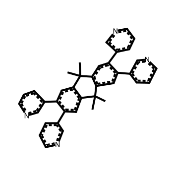 CC1(C)c2cc(-c3cccnc3)c(-c3cccnc3)cc2C(C)(C)c2cc(-c3cccnc3)c(-c3cccnc3)cc21